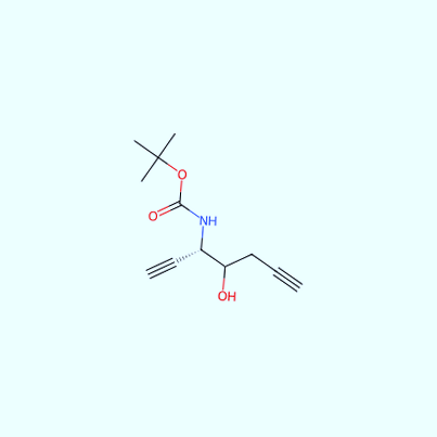 C#CCC(O)[C@H](C#C)NC(=O)OC(C)(C)C